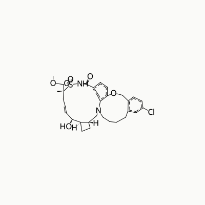 COC[C@@]1(C)C/C=C/[C@H](O)[C@@H]2CC[C@H]2CN2CCCCc3cc(Cl)ccc3COc3ccc(cc32)C(=O)NS1(=O)=O